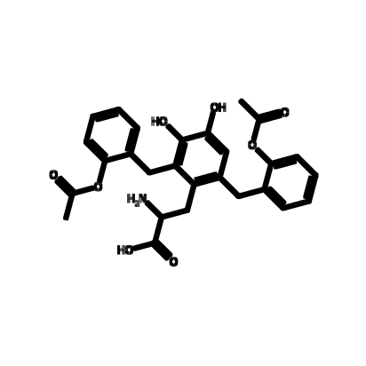 CC(=O)Oc1ccccc1Cc1cc(O)c(O)c(Cc2ccccc2OC(C)=O)c1CC(N)C(=O)O